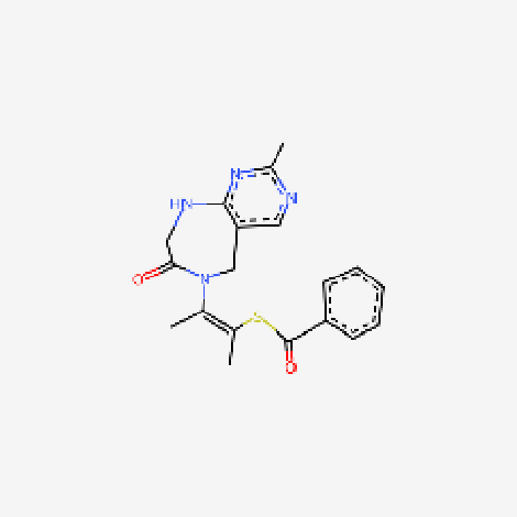 C/C(SC(=O)c1ccccc1)=C(\C)N1Cc2cnc(C)nc2NCC1=O